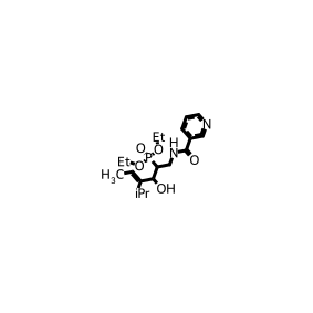 CC=C(C(C)C)C(O)C(CNC(=O)c1cccnc1)P(=O)(OCC)OCC